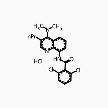 CCCc1cnc2c(NC(=O)c3c(Cl)cccc3Cl)cccc2c1N(C)C.Cl